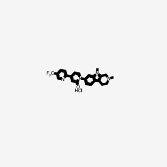 CN1CCc2c(n(C)c3cc(-n4ccc(-c5ccc(C(F)(F)F)cn5)cc4=O)ccc23)C1.Cl